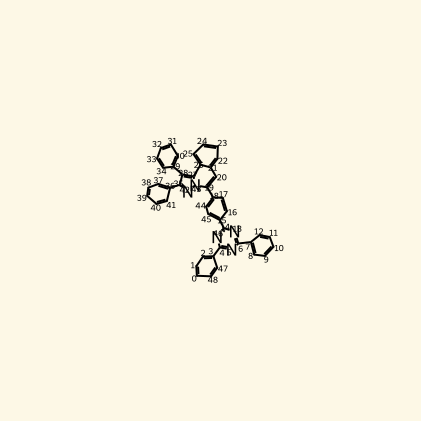 c1ccc(-c2nc(-c3ccccc3)nc(-c3ccc(-c4cc5ccccc5c5c(-c6ccccc6)c(-c6ccccc6)nn45)cc3)n2)cc1